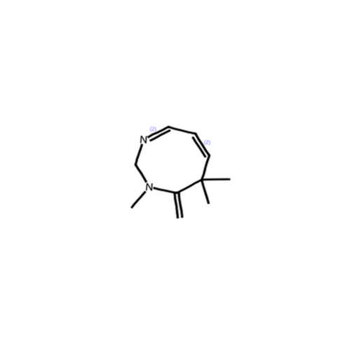 C=C1N(C)C/N=C\C=C/C1(C)C